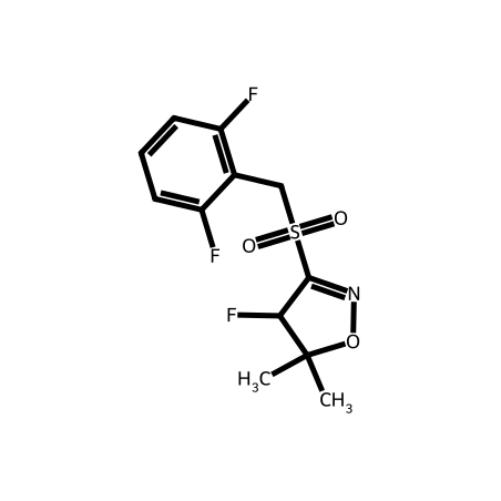 CC1(C)ON=C(S(=O)(=O)Cc2c(F)cccc2F)C1F